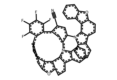 N#Cc1cc(-n2c3ccccc3c3ccc4oc5ccccc5c4c32)c2cc1c1c(F)c(F)c(F)c(F)c1c1ccc3c(c1)oc1ccc4c5ccccc5n2c4c13